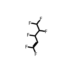 FC(F)=CC(F)C(F)C(F)F